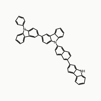 c1ccc(-n2c3ccccc3c3cc(-c4ccc5c(c4)c4ccccc4n5-c4ccc5cc(-c6ccc7c(c6)[nH]c6ccccc67)ccc5c4)ccc32)cc1